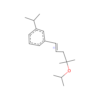 CC(C)OC(C)(C)C/C=C/c1cccc(C(C)C)c1